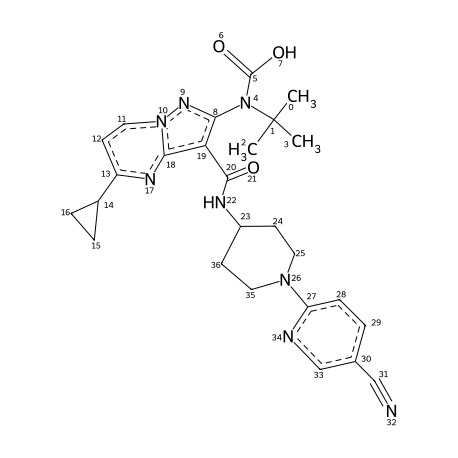 CC(C)(C)N(C(=O)O)c1nn2ccc(C3CC3)nc2c1C(=O)NC1CCN(c2ccc(C#N)cn2)CC1